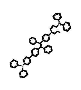 CC/C=C(\C=C/CN(c1ccccc1)c1ccccc1)c1ccc(/C(=C(\c2ccccc2)c2ccc(-c3ccc(N(c4ccccc4)c4ccccc4)cc3)cc2)c2ccccc2)cc1